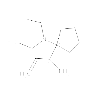 C=CC(N)C1(N(CC)CC)CCCC1